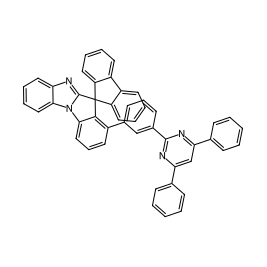 c1ccc(-c2cc(-c3ccccc3)nc(-c3cccc(-c4cccc5c4C4(c6ccccc6-c6ccccc64)c4nc6ccccc6n4-5)c3)n2)cc1